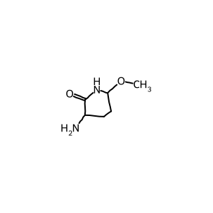 COC1CCC(N)C(=O)N1